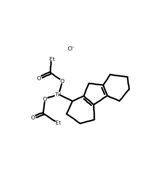 CCC(=O)[O][Ti+]([O]C(=O)CC)[CH]1CCCC2=C1CC1=C2CCCC1.[Cl-]